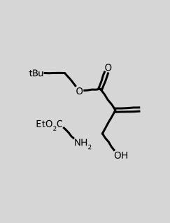 C=C(CO)C(=O)OCC(C)(C)C.CCOC(N)=O